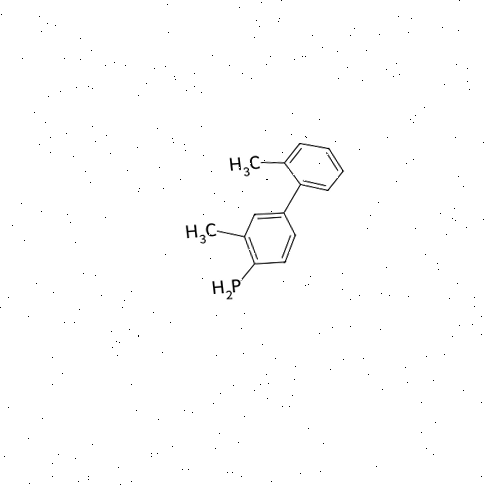 Cc1cc(-c2ccccc2C)ccc1P